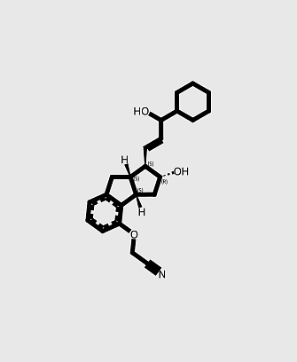 N#CCOc1cccc2c1[C@H]1C[C@@H](O)[C@H](C=CC(O)C3CCCCC3)[C@H]1C2